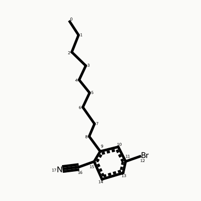 CCCCCCCCCc1cc(Br)ccc1C#N